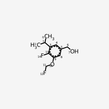 CC(C)c1cc(CO)cc(OCF)c1F